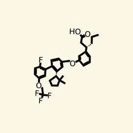 CCC[C@@H](CC(=O)O)c1cccc(OCc2ccc(-c3cc(OCC(F)(F)F)ccc3F)c([C@H]3CCCC3(C)C)c2)c1